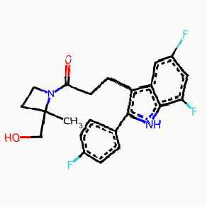 CC1(CO)CCN1C(=O)CCc1c(-c2ccc(F)cc2)[nH]c2c(F)cc(F)cc12